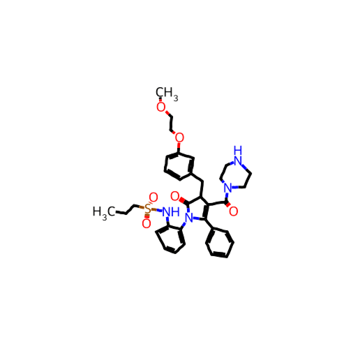 CCCS(=O)(=O)Nc1ccccc1N1C(=O)C(Cc2cccc(OCCOC)c2)C(C(=O)N2CCNCC2)=C1c1ccccc1